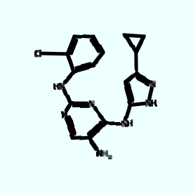 Nc1cnc(Nc2ccccc2Cl)nc1Nc1cc(C2CC2)n[nH]1